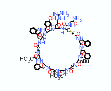 CCCC[C@H]1C(=O)N(C)CC(=O)N[C@@H](CC(=O)O)C(=O)N[C@@H](C(C)C)C(=O)N(C)[C@@H](Cc2ccccc2)C(=O)N[C@@H](CCC(=O)O)C(=O)N(C)CC(=O)N[C@@H](Cc2c[nH]c3ccccc23)C(=O)N[C@@H](Cc2ccc(O)cc2)C(=O)N[C@@H](CCCNC(=N)N)C(=O)N[C@H](C(=O)NCC(N)=O)CSCC(=O)N[C@@H](Cc2ccccc2)C(=O)N(C)[C@@H](Cc2ccccc2)C(=O)N1C